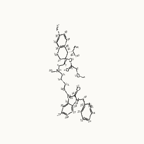 COCC(=O)O[C@]1(CCN(C)CCCCn2c(=O)n(Cc3ccccn3)c3ccccc32)CCc2cc(F)ccc2[C@@H]1C(C)C